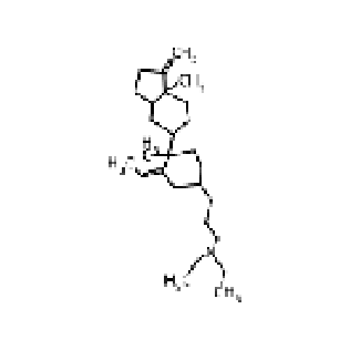 C=C1CCC2CC(C3(C)CCC(CCCN(CC)CC)C/C3=C/C)CCC12C